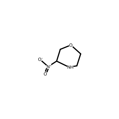 O=[N+]([O-])C1COCCN1